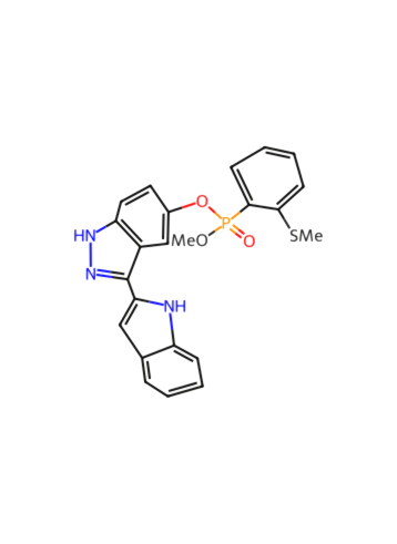 COP(=O)(Oc1ccc2[nH]nc(-c3cc4ccccc4[nH]3)c2c1)c1ccccc1SC